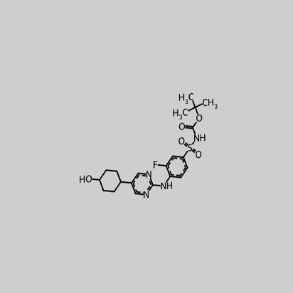 CC(C)(C)OC(=O)NS(=O)(=O)c1ccc(Nc2ncc(C3CCC(O)CC3)cn2)c(F)c1